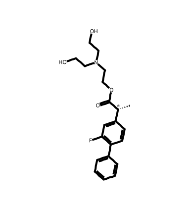 C[C@@H](C(=O)OCCN(CCO)CCO)c1ccc(-c2ccccc2)c(F)c1